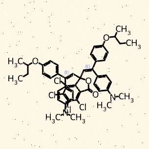 CCC(C)Oc1ccc(/C(=C/C2(/C=C(/c3ccc(OC(C)CC)cc3)c3ccc(N(C)C)cc3)OC(=O)c3c(Cl)c(Cl)c(Cl)c(Cl)c32)c2ccc(N(C)C)cc2)cc1